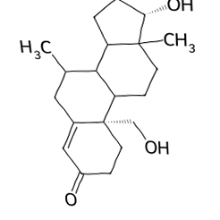 CC1CC2=CC(=O)CC[C@]2(CO)C2CCC3(C)C(CC[C@@H]3O)C12